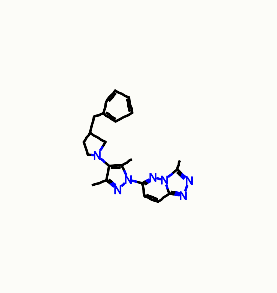 Cc1nn(-c2ccc3nnc(C)n3n2)c(C)c1N1CCC(Cc2ccccc2)C1